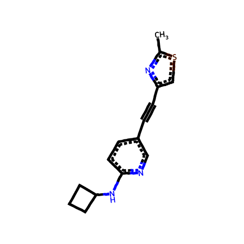 Cc1nc(C#Cc2ccc(NC3CCC3)nc2)cs1